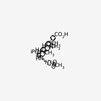 CC(C)[C@@H]1CC[C@]2(NCCN3CCN(S(C)(=O)=O)CC3)CC[C@]3(C)[C@H](CC[C@@H]4[C@@]5(C)CC[C@H](c6ccc(C(=O)O)cc6)C(C)(C)[C@@H]5CC[C@]43C)[C@@H]12